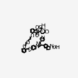 O=C1CCC(N2C(=O)c3cccc(OCCCOCCOc4ccccc4COc4ccc(-n5cc(-c6ccc7c(c6)CCC7=NO)c(-c6ccncc6)n5)cc4)c3C2=O)C(=O)N1